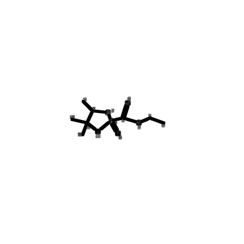 CCOC(=O)P1(=O)OC(C)C(C)(C)O1